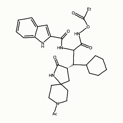 CCC(=O)ONC(=O)C(NC(=O)c1cc2ccccc2[nH]1)C(C1CCCCC1)[C@@H]1CC2(CCN(C(C)=O)CC2)NC1=O